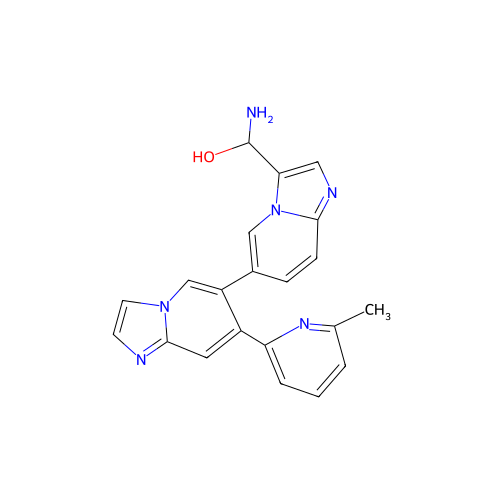 Cc1cccc(-c2cc3nccn3cc2-c2ccc3ncc(C(N)O)n3c2)n1